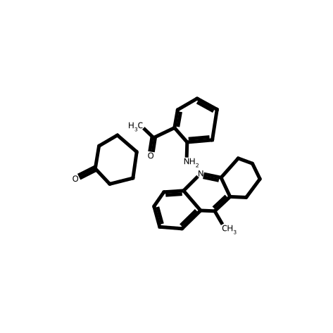 CC(=O)c1ccccc1N.Cc1c2c(nc3ccccc13)CCCC2.O=C1CCCCC1